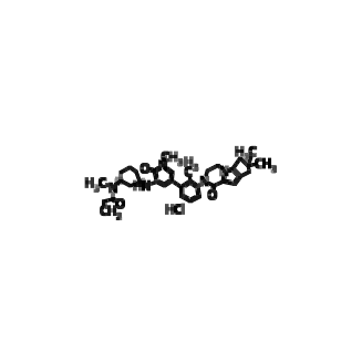 C=CC(=O)N(C)[C@H]1CCC[C@H](Nc2cc(-c3cccc(N4CCn5c(cc6c5CC(C)(C)C6)C4=O)c3C)cn(C)c2=O)C1.Cl